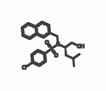 CC(C)C[C@H](CO)N(Cc1ccc2ccccc2c1)S(=O)(=O)c1ccc(Cl)cc1